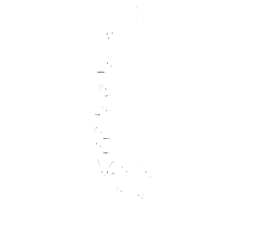 COc1ccc(NC(=S)NCC(=O)NCC(=O)NCC(=O)NCCOP(=O)(O)OCC(COC(C)=O)OC(C)=O)cc1C(C(=O)O)N1CCN(CC(=O)O)CCN(CC(=O)O)CCN(CC(=O)O)CC1